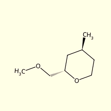 COC[C@@H]1C[C@@H](C)CCO1